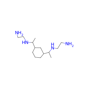 CC(NCCN)C1CCCC(C(C)NCCN)C1